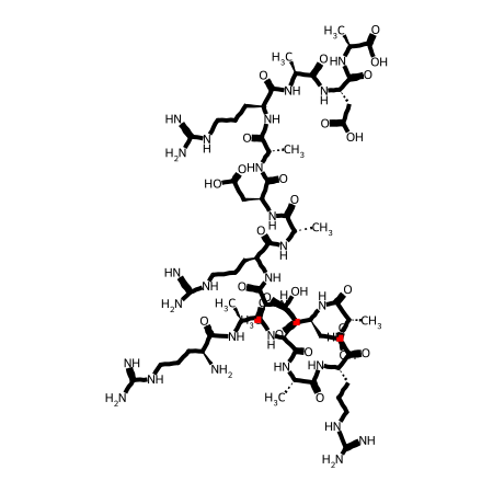 C[C@H](NC(=O)[C@H](CC(=O)O)NC(=O)[C@H](C)NC(=O)[C@H](CCCNC(=N)N)NC(=O)[C@H](C)NC(=O)[C@H](CC(=O)O)NC(=O)[C@H](C)NC(=O)[C@H](CCCNC(=N)N)NC(=O)[C@H](C)NC(=O)[C@H](CC(=O)O)NC(=O)[C@H](C)NC(=O)[C@H](CCCNC(=N)N)NC(=O)[C@H](C)NC(=O)[C@H](CC(=O)O)NC(=O)[C@H](C)NC(=O)[C@@H](N)CCCNC(=N)N)C(=O)O